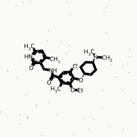 CCOc1c(C)c(C(=O)NCc2c(C)cc(C)[nH]c2=O)cc(Cl)c1O[C@H]1CC[C@H](N(C)C)CC1